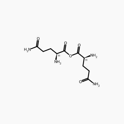 NC(=O)CC[C@H](N)C(=O)OC(=O)[C@@H](N)CCC(N)=O